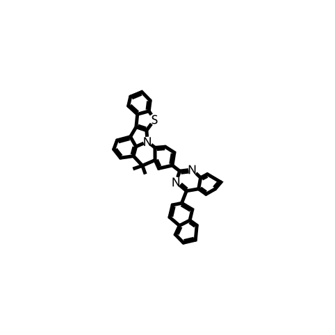 CC1(C)c2cc(-c3nc(-c4ccc5ccccc5c4)c4ccccc4n3)ccc2-n2c3sc4ccccc4c3c3cccc1c32